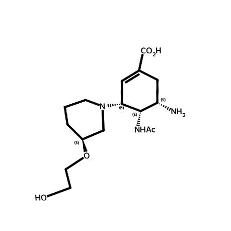 CC(=O)N[C@@H]1[C@H](N2CCC[C@H](OCCO)C2)C=C(C(=O)O)C[C@@H]1N